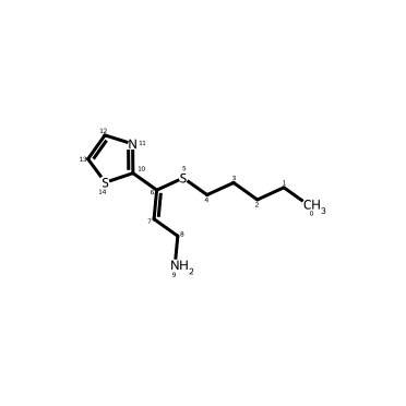 CCCCCSC(=CCN)c1nccs1